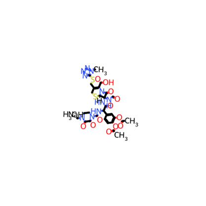 CCN1CCN(C(=O)NC(C(=O)N[C@]2(NC=O)C(=O)N3C(C(=O)O)=C(CSc4nnnn4C)CS[C@@H]32)c2ccc(OC(C)=O)c(OC(C)=O)c2)C(=O)C1=O.[NaH]